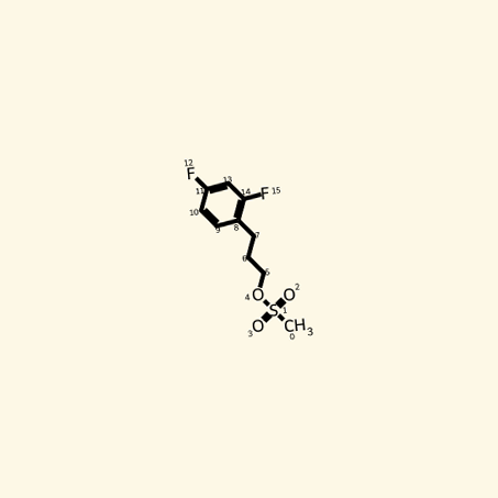 CS(=O)(=O)OCCCc1ccc(F)cc1F